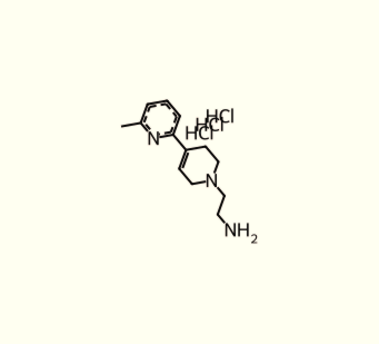 Cc1cccc(C2=CCN(CCN)CC2)n1.Cl.Cl.Cl